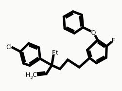 C=CC(CC)(CCCc1ccc(F)c(Oc2ccccc2)c1)c1ccc(Cl)cc1